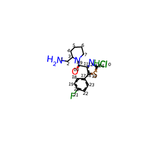 Cl.NCC1CCCCN1C(=O)c1nc(Cl)sc1-c1ccc(F)cc1